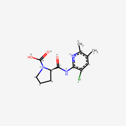 Cc1cc(Br)c(NC(=O)[C@H]2CCCN2C(=O)O)nc1C